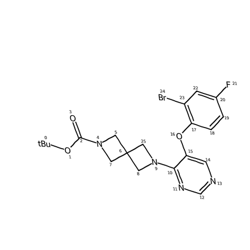 CC(C)(C)OC(=O)N1CC2(C1)CN(c1ncncc1Oc1ccc(F)cc1Br)C2